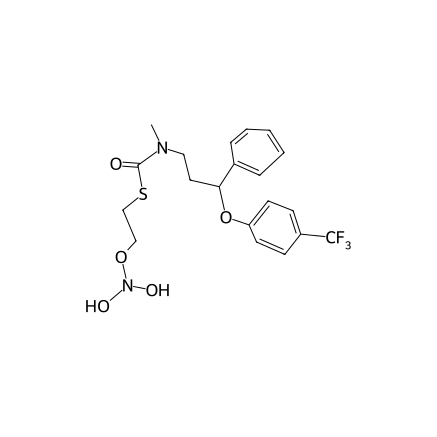 CN(CCC(Oc1ccc(C(F)(F)F)cc1)c1ccccc1)C(=O)SCCON(O)O